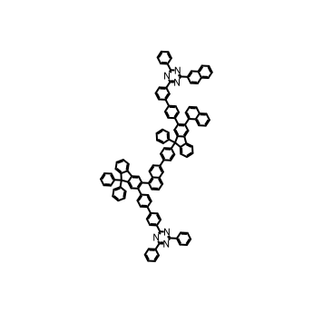 c1ccc(-c2nc(-c3ccccc3)nc(-c3ccc(-c4ccc(-c5cc6c(cc5-c5cccc7cc(-c8ccc(C9(c%10ccccc%10)c%10ccccc%10-c%10cc(-c%11cccc%12ccccc%11%12)c(-c%11ccc(-c%12cccc(-c%13nc(-c%14ccccc%14)nc(-c%14ccc%15ccccc%15c%14)n%13)c%12)cc%11)cc%109)cc8)ccc57)-c5ccccc5C6(c5ccccc5)c5ccccc5)cc4)cc3)n2)cc1